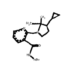 CCCCNC(=O)c1cccnc1N1CCC(C2CC2)C1(C)C